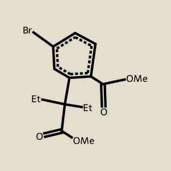 CCC(CC)(C(=O)OC)c1cc(Br)ccc1C(=O)OC